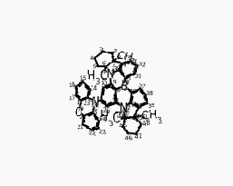 CC12CCCCC1(C)N1c3cc(N4c5ccccc5Oc5ccccc54)cc4c3B(c3cccc2c31)c1cccc2c1N4C1(C)CCCCC21C